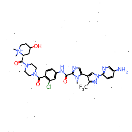 Cn1c(-c2cn(-c3ccc(N)cn3)nc2C(F)(F)F)cnc1C(=O)Nc1ccc(C(=O)N2CCN(C(=O)[C@@H]3CC(O)CC[N+]3(C)C)CC2)c(Cl)c1